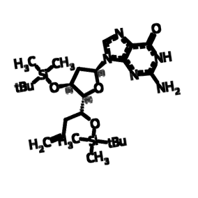 C=CCC(O[Si](C)(C)C(C)(C)C)[C@H]1O[C@H](n2cnc3c(=O)[nH]c(N)nc32)C[C@@H]1O[Si](C)(C)C(C)(C)C